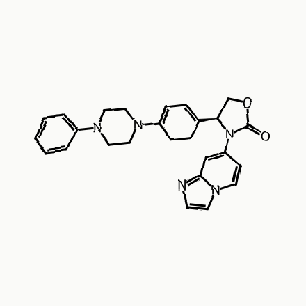 O=C1OC[C@H](C2=CC=C(N3CCN(c4ccccc4)CC3)CC2)N1c1ccn2ccnc2c1